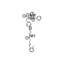 COC(=O)[C@H](Cc1ccc(OCCCNC(=O)CCC=Cc2ccccc2C)cc1)Nc1ccccc1C(=O)c1ccccc1